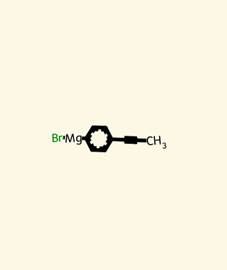 CC#Cc1cc[c]([Mg][Br])cc1